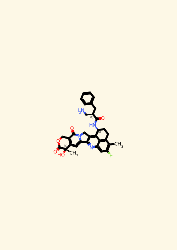 Cc1c(F)cc2nc3c(c4c2c1CC[C@@H]4NC(=O)[C@@H](CN)Cc1ccccc1)Cn1c-3cc2c(c1=O)COC(=O)[C@@]2(C)O